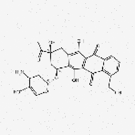 CC(=O)[C@]1(O)Cc2c(O)c3c(c(O)c2[C@@H](O[C@H]2CC(N)C(O)=CO2)C1)C(=O)c1c(CO)cccc1C3=O